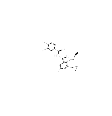 C#CCn1nc(NC(=O)c2ccc(F)c(F)c2)c2cc(C)cc(C3CC3)c21